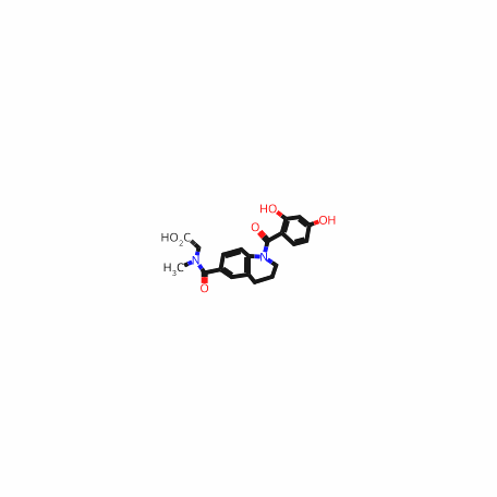 CN(CC(=O)O)C(=O)c1ccc2c(c1)CCCN2C(=O)c1ccc(O)cc1O